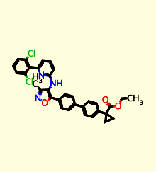 CCOC(=O)C1(c2ccc(-c3ccc(-c4onc(C)c4Nc4cccc(-c5c(Cl)cccc5Cl)n4)cc3)cc2)CC1